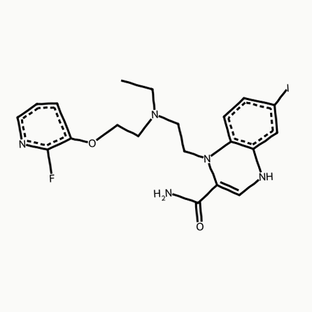 CCN(CCOc1cccnc1F)CCN1C(C(N)=O)=CNc2cc(I)ccc21